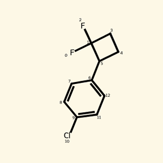 FC1(F)CCC1c1ccc(Cl)cc1